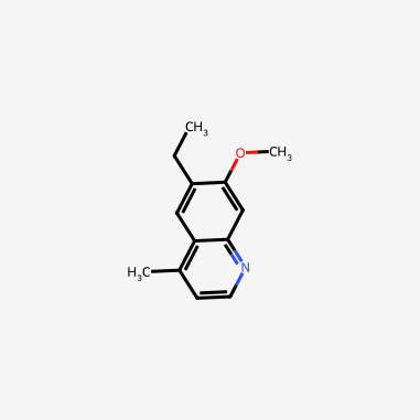 CCc1cc2c(C)ccnc2cc1OC